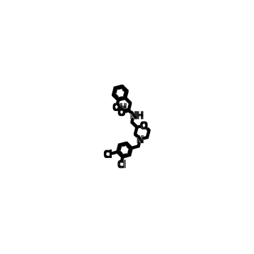 O=C(Cc1ccccc1O)NCC1CN(Cc2ccc(Cl)c(Cl)c2)CCO1